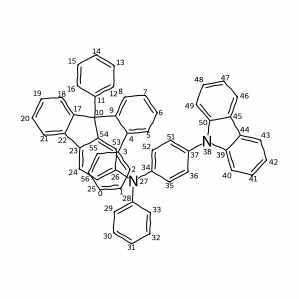 c1ccc(-c2ccccc2C2(c3ccccc3)c3ccccc3-c3ccc(N(c4ccccc4)c4ccc(-n5c6ccccc6c6ccccc65)cc4)cc32)cc1